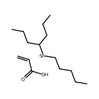 C=CC(=O)O.CCCC[CH2][Sn][CH](CCC)CCC